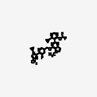 Cn1ccc2nc(-c3c(OC(F)F)ncnc3C3CC3)nc(OCc3cnc(-c4nc(C(F)(F)F)cn4C4CC4)c(F)c3)c21